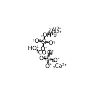 O=C(O)O.[Al+3].[Ca+2].[Mg+2].[O-][Si]([O-])([O-])O.[O-][Si]([O-])([O-])[O-]